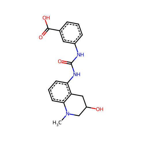 CN1CC(O)Cc2c(NC(=O)Nc3cccc(C(=O)O)c3)cccc21